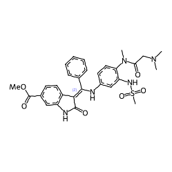 COC(=O)c1ccc2c(c1)NC(=O)/C2=C(\Nc1ccc(N(C)C(=O)CN(C)C)c(NS(C)(=O)=O)c1)c1ccccc1